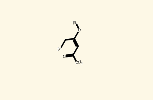 CCOC(=CC(=O)C(Cl)(Cl)Cl)CBr